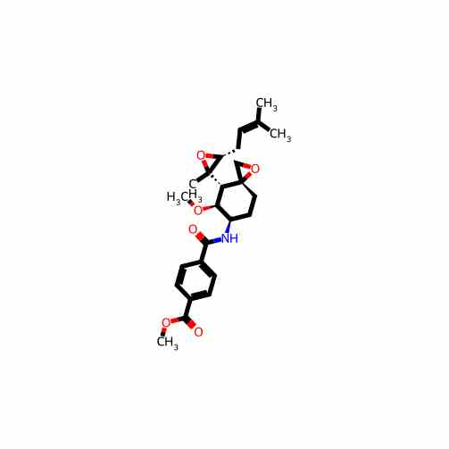 COC(=O)c1ccc(C(=O)N[C@@H]2CC[C@]3(CO3)[C@@H](C3(C)O[C@@H]3CC=C(C)C)[C@@H]2OC)cc1